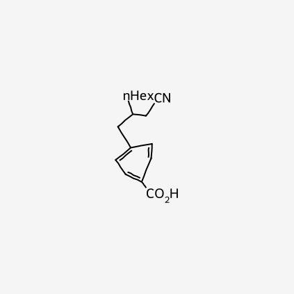 CCCCCCC(CC#N)Cc1ccc(C(=O)O)cc1